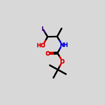 CC(NC(=O)OC(C)(C)C)C(O)I